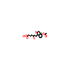 CC(=O)O[C@H]1CCCC2C(CCC(=O)CCCC(=O)O)C(=O)CC[C@@]21C